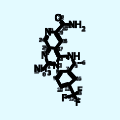 Cc1nc(N[C@H](C)c2cccc(C(F)(F)F)c2)c2cc(C(N)=O)ncc2n1.N